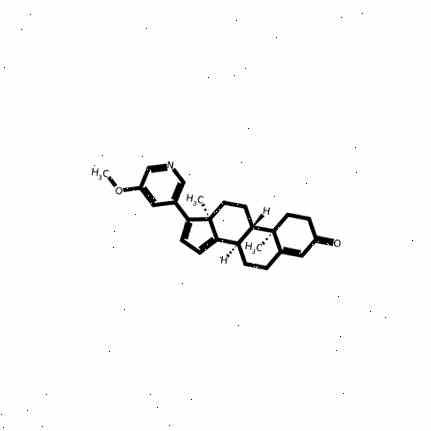 COc1cncc(C2=CC=C3[C@@H]4CCC5=CC(=O)CC[C@]5(C)[C@H]4CC[C@]23C)c1